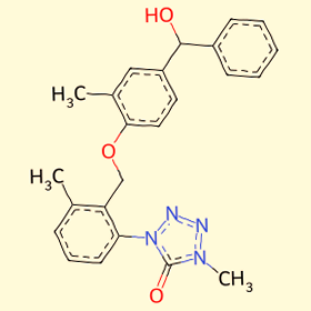 Cc1cc(C(O)c2ccccc2)ccc1OCc1c(C)cccc1-n1nnn(C)c1=O